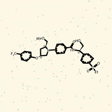 CCS(=O)(=O)c1ccc([C@H](CO)NC(=O)c2ccc(N3C[C@H](Oc4ccc(C(F)(F)F)cc4)C[C@H]3COC)cc2)cc1